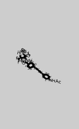 CC(=O)Nc1ccc(C#CC#Cc2ccc(C(=O)NC(C(=O)NO)C(C)(NC(C)=O)C(F)F)cc2)cc1